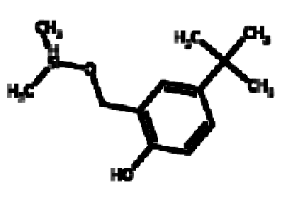 C[SiH](C)OCc1cc(C(C)(C)C)ccc1O